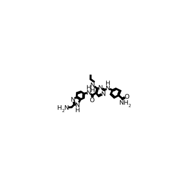 CCCNc1nc(Nc2ccc(C(N)=O)cc2)ncc1C(=O)Nc1ccc2nc(CN)[nH]c2c1